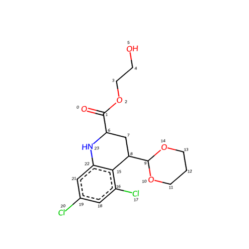 O=C(OCCO)C1CC(C2OCCCO2)c2c(Cl)cc(Cl)cc2N1